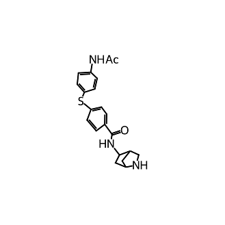 CC(=O)Nc1ccc(Sc2ccc(C(=O)NC3CC4CC3CN4)cc2)cc1